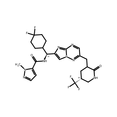 Cn1nccc1C(=O)N[C@H](c1cn2nc(CC3C[C@@H](C(F)(F)F)CNC3=O)cnc2n1)C1CCC(F)(F)CC1